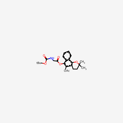 CC(=O)Oc1c2c(c3ccccc3c1OC(=O)CNC(=O)OC(C)(C)C)OC(C)(C)CC2